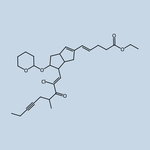 CCC#CCC(C)C(=O)C(Cl)=CC1C(OC2CCCCO2)CC2C=C(C=CCCC(=O)OCC)CC21